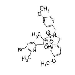 COc1ccc(CN(Cc2ccc(OC)cc2)S(=O)(=O)[C@H](C)[C@@H](O)c2ccc(Br)c(C)n2)cc1